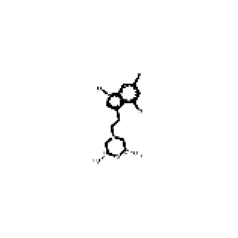 CCn1cc(CCN2C[C@@H](C)O[C@@H](C)C2)c2c(O)cc(F)cc21